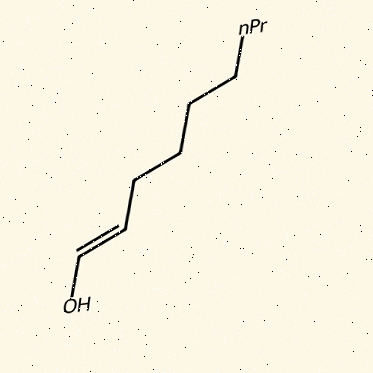 CCCCCCCC=CO